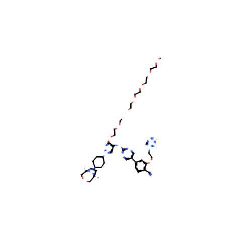 COCCOCCOCCOCCOCCOCCOc1nn(C2CCC(N3[C@@H]4CC[C@H]3COC4)CC2)cc1Nc1ncc(-c2ccc(C#N)c(O[C@@H](C)Cn3cnnn3)c2)cn1